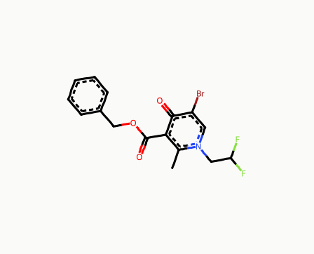 Cc1c(C(=O)OCc2ccccc2)c(=O)c(Br)cn1CC(F)F